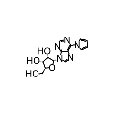 OC[C@@H]1O[C@@H](n2cnc3c(-n4cccc4)ncnc32)[C@@H](O)[C@H]1O